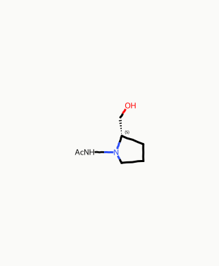 CC(=O)NN1CCC[C@H]1CO